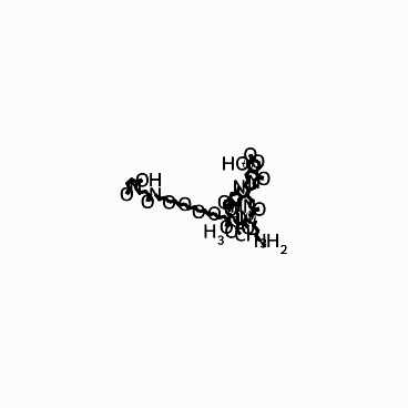 CC(C)C(NC(=O)CCOCCOCCOCCOCCNC(=O)CCN1C(=O)C=CC1=O)C(=O)N[C@@H](CCCCN)C(=O)NCc1c2c(nc3cc4c(cc13)OCO4)-c1cc3c(c(=O)n1C2)COC(=O)[C@H]3O